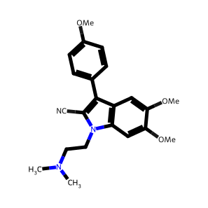 COc1ccc(-c2c(C#N)n(CCN(C)C)c3cc(OC)c(OC)cc23)cc1